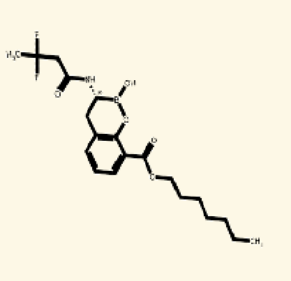 CCCCCCCOC(=O)c1cccc2c1OB(O)[C@@H](NC(=O)CC(C)(F)F)C2